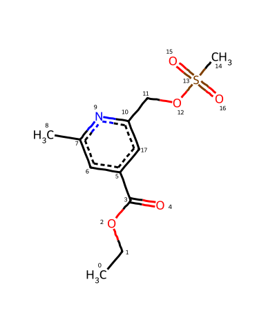 CCOC(=O)c1cc(C)nc(COS(C)(=O)=O)c1